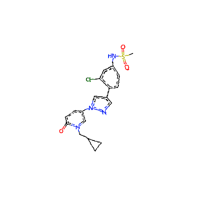 CS(=O)(=O)Nc1ccc(-c2cnn(-c3ccc(=O)n(CC4CC4)c3)c2)c(Cl)c1